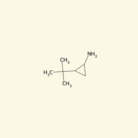 CC(C)(C)C1CC1N